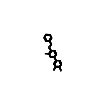 Cc1cc(-c2ccc(OCc3ccccc3)c(C)c2)ccc1F